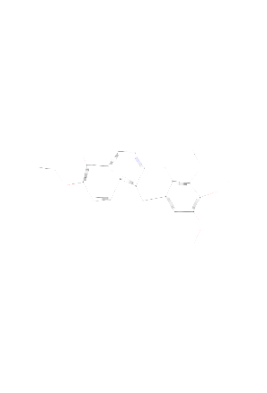 CCOc1ccc2c(Cc3cc(OC)c(OC)c(OC)c3Cl)cncc2c1O